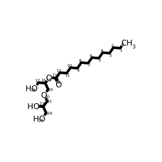 CCCCCCCCCCCCCC(=O)OC(CO)COCC(O)CO